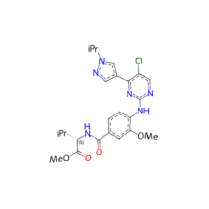 COC(=O)[C@@H](NC(=O)c1ccc(Nc2ncc(Cl)c(-c3cnn(C(C)C)c3)n2)c(OC)c1)C(C)C